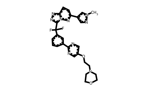 Cn1cc(-c2ccc3nnc(C(F)(F)c4cccc(-c5ncc(OCCN6CCOCC6)cn5)c4)n3n2)cn1